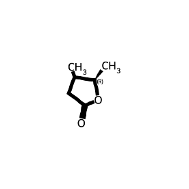 CC1CC(=O)O[C@@H]1C